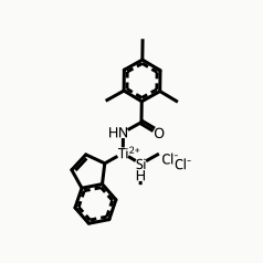 Cc1cc(C)c(C(=O)[NH][Ti+2]([CH]2C=Cc3ccccc32)[SiH](C)C)c(C)c1.[Cl-].[Cl-]